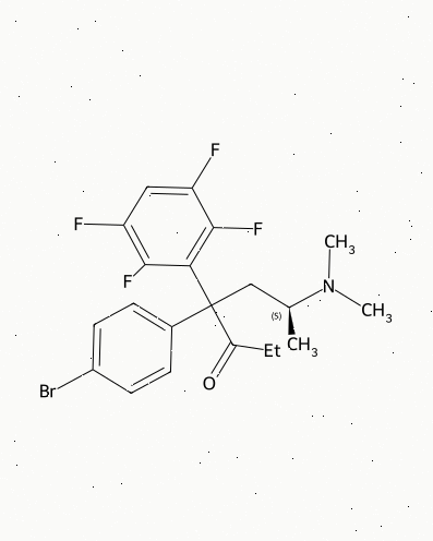 CCC(=O)C(C[C@H](C)N(C)C)(c1ccc(Br)cc1)c1c(F)c(F)cc(F)c1F